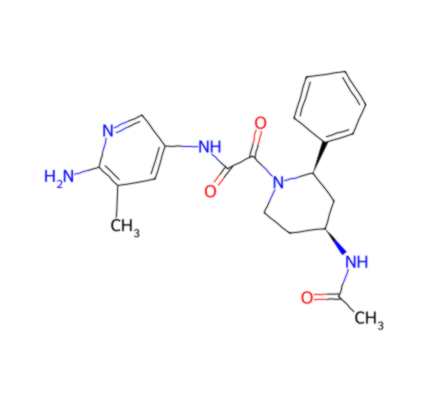 CC(=O)N[C@H]1CCN(C(=O)C(=O)Nc2cnc(N)c(C)c2)[C@@H](c2ccccc2)C1